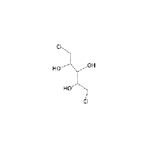 OC(CCl)C(O)C(O)CCl